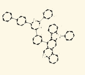 c1ccc(-c2ccc(-c3cc(-c4cccc(-c5c6cnc7ccccc7c6cc6c5c5ccccc5n6-c5ccccc5)c4)nc(-c4ccccc4)n3)cc2)cc1